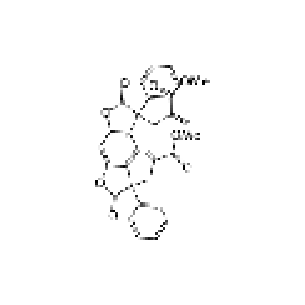 C=C(CC1(c2ccccc2)C(=O)Oc2cc3c(cc21)C(CC(=C)C(=O)OC)(c1ccccc1)C(=O)O3)C(=O)OC